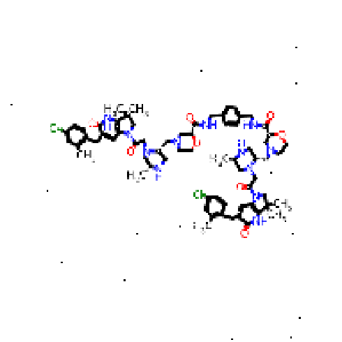 Cc1cc(Cl)ccc1Cc1cc2c([nH]c1=O)C(C)(C)CN2C(=O)CN1C[C@@H](C)NC[C@@H]1CN1CCO[C@H](C(=O)NCc2ccc(CNC(=O)[C@@H]3CN(C[C@H]4CN[C@H](C)CN4CC(=O)N4CC(C)(C)c5[nH]c(=O)c(Cc6ccc(Cl)cc6C)cc54)CCO3)cc2)C1